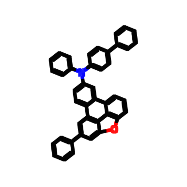 c1ccc(-c2ccc(N(c3ccccc3)c3ccc4c(c3)c3cccc5oc6cc(-c7ccccc7)cc4c6c53)cc2)cc1